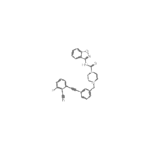 N#Cc1c(F)cccc1C#Cc1cccc(CN2CCN(C(=O)Nc3noc4ccccc34)CC2)c1